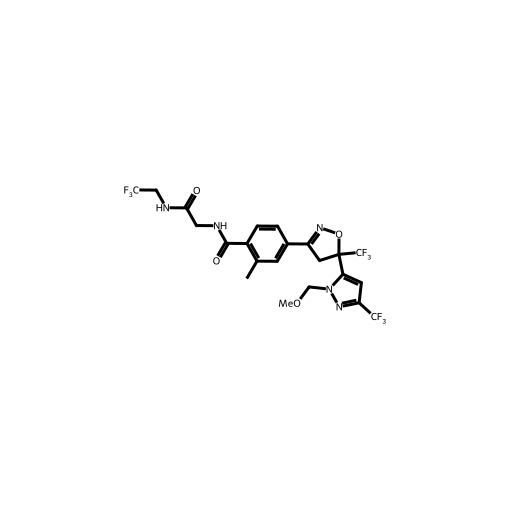 COCn1nc(C(F)(F)F)cc1C1(C(F)(F)F)CC(c2ccc(C(=O)NCC(=O)NCC(F)(F)F)c(C)c2)=NO1